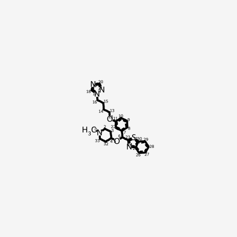 CN1CCC(OC(c2cccc(OCCCCn3cncn3)c2)c2nc3ccccc3s2)CC1